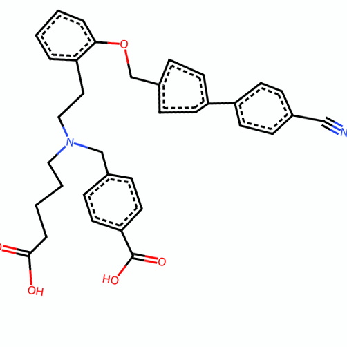 N#Cc1ccc(-c2ccc(COc3ccccc3CCN(CCCCC(=O)O)Cc3ccc(C(=O)O)cc3)cc2)cc1